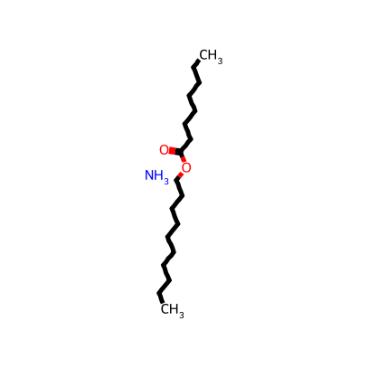 CCCCCCCCCCOC(=O)CCCCCCC.N